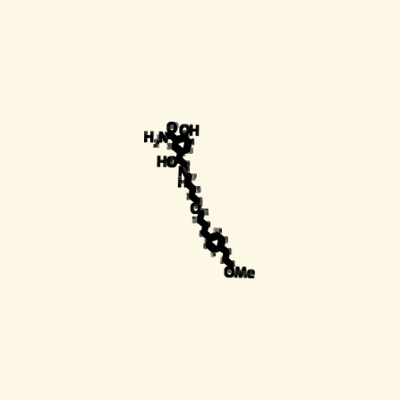 COCCCc1ccc(CCCCOCCCCCNCC(O)c2ccc(O)c(C(N)=O)c2)cc1